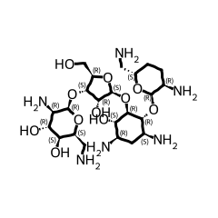 NC[C@@H]1CC[C@@H](N)[C@@H](O[C@H]2[C@H](O[C@@H]3O[C@H](CO)[C@@H](O[C@H]4O[C@@H](CN)[C@@H](O)[C@H](O)[C@H]4N)[C@H]3O)[C@@H](O)[C@H](N)C[C@@H]2N)O1